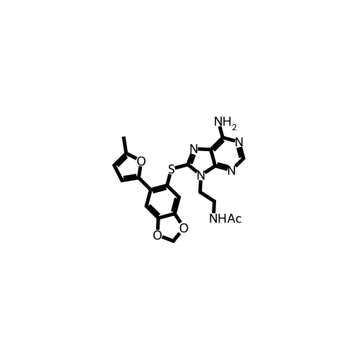 CC(=O)NCCn1c(Sc2cc3c(cc2-c2ccc(C)o2)OCO3)nc2c(N)ncnc21